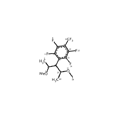 COC(C)C(c1c(F)c(F)c(C(F)(F)F)c(F)c1F)C(C)OI